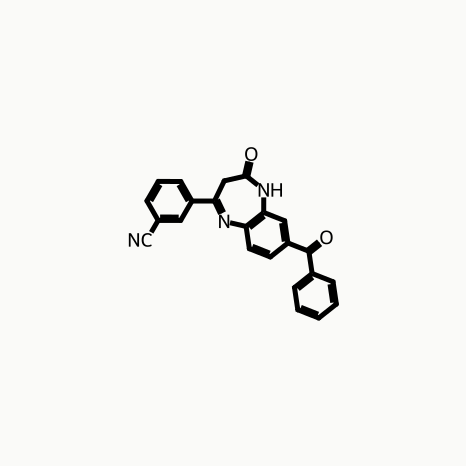 N#Cc1cccc(C2=Nc3ccc(C(=O)c4ccccc4)cc3NC(=O)C2)c1